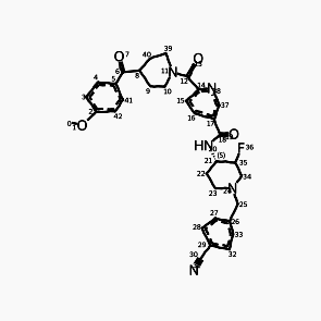 COc1ccc(C(=O)C2CCN(C(=O)c3ccc(C(=O)N[C@H]4CCN(Cc5ccc(C#N)cc5)CC4F)cn3)CC2)cc1